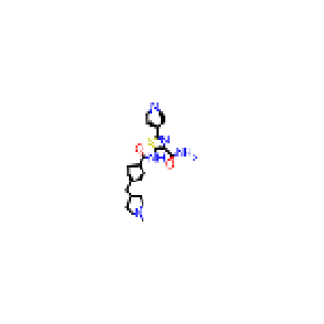 CN1CCC(Cc2ccc(C(=O)Nc3sc(-c4ccncc4)nc3C(N)=O)cc2)CC1